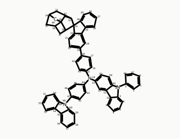 c1ccc(-n2c3ccccc3c3cc(N(c4ccc(-c5ccc6c(c5)-c5ccccc5C65C6CC7CC8CC5C8(C7)C6)cc4)c4ccc(-n5c6ccccc6c6ccccc65)cc4)ccc32)cc1